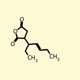 CCC=CC(CC)C1CC(=O)OC1=O